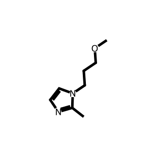 COCCCn1ccnc1C